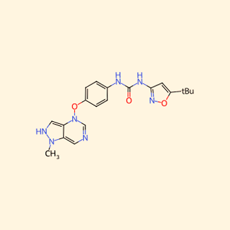 CN1NC=C2C1=CN=CN2Oc1ccc(NC(=O)Nc2cc(C(C)(C)C)on2)cc1